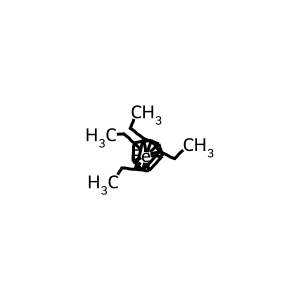 CC[C]12[CH]3[CH]4[C]5(CC)[CH]1[Fe]34251678[CH]2[CH]1[C]6(CC)[C]7(CC)[CH]28